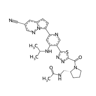 CC(=O)NC[C@H]1CCCN1C(=O)c1nnc(-c2cnc(-c3ccc4cc(C#N)cnn34)cc2NC(C)C)s1